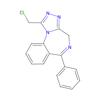 ClCc1nnc2n1-c1ccccc1C(c1ccccc1)=NC2